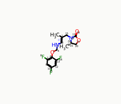 C/C(=C\NCOc1c(F)cc(F)cc1F)CN1C(=O)OC[C@@H]1C